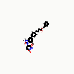 Cn1c(=O)n(C2CCC(=O)NC2=O)c2ccc([C@H]3CC[C@@H](CCCC(=O)OCc4ccccc4)CC3)cc21